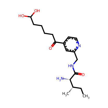 CC[C@H](C)[C@H](N)C(=O)NCc1cc(C(=O)CCCCC(O)O)ccn1